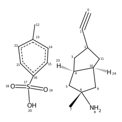 C#CC1C[C@@H]2C[C@@](C)(N)C[C@@H]2C1.Cc1ccc(S(=O)(=O)O)cc1